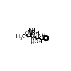 CC(C)C[C@H](NC(=O)[C@@H](O)[C@H](N)Cc1ccccc1)c1nnn[nH]1